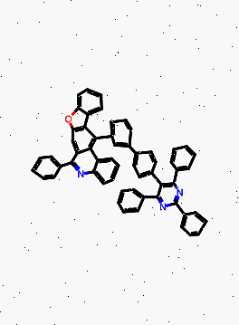 c1ccc(-c2nc(-c3ccccc3)c(-c3ccc(-c4cccc(-c5c6c(cc7c(-c8ccccc8)nc8ccccc8c57)oc5ccccc56)c4)cc3)c(-c3ccccc3)n2)cc1